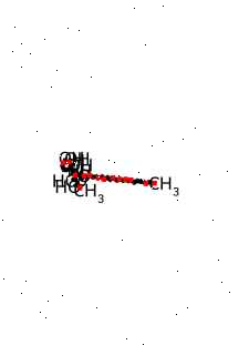 CCCCCCCCCCCCCCCCCCCCCCCCOC(=O)NC(CNC1/C=C\CCC(O)C(O)C1O)C(O)CC(O)CC